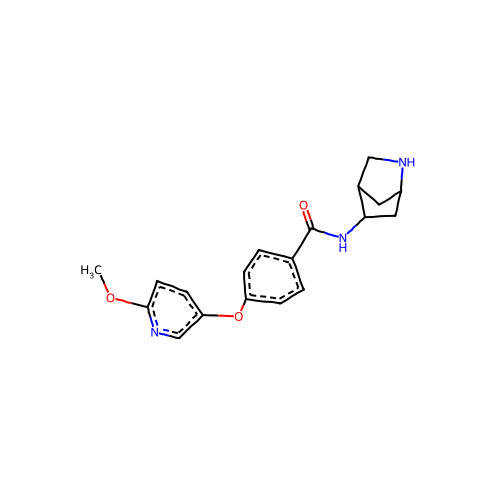 COc1ccc(Oc2ccc(C(=O)NC3CC4CC3CN4)cc2)cn1